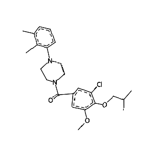 COc1cc(C(=O)N2CCN(c3cccc(C)c3C)CC2)cc(Cl)c1OCC(C)C